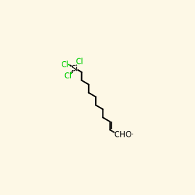 O=[C]C=CCCCCCCCC[Si](Cl)(Cl)Cl